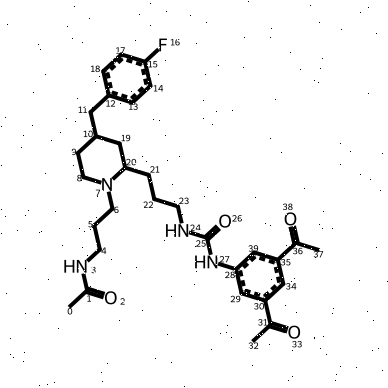 CC(=O)NCCCN1CCC(Cc2ccc(F)cc2)CC1CCCNC(=O)Nc1cc(C(C)=O)cc(C(C)=O)c1